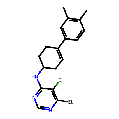 CCc1ncnc(NC2CC=C(c3ccc(C)c(C)c3)CC2)c1Cl